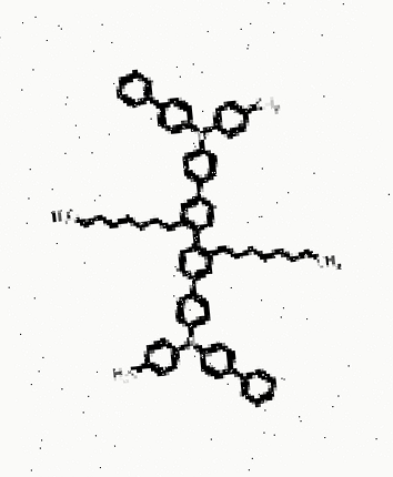 CCCCCCCCc1cc(-c2ccc(N(c3ccc(C)cc3)c3ccc(-c4ccccc4)cc3)cc2)ccc1-c1ccc(-c2ccc(N(c3ccc(C)cc3)c3ccc(-c4ccccc4)cc3)cc2)cc1CCCCCCCC